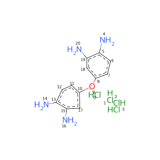 Cl.Cl.Cl.Cl.Nc1ccc(Oc2ccc(N)c(N)c2)cc1N